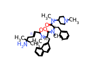 CN1CCC(N(C)C(=O)[C@@H](Cc2ccccc2)N(C)C(=O)[C@@H](Cc2ccc3ccccc3c2)N(C)C(=O)/C=C/CC(C)(C)N)CC1